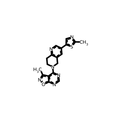 Cc1ncc(-c2cnc3c(c2)CN(c2ncnc4onc(C)c24)CC3)s1